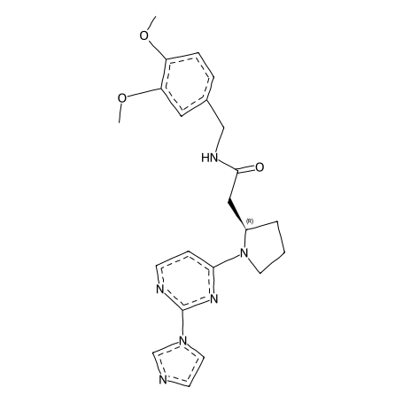 COc1ccc(CNC(=O)C[C@H]2CCCN2c2ccnc(-n3ccnc3)n2)cc1OC